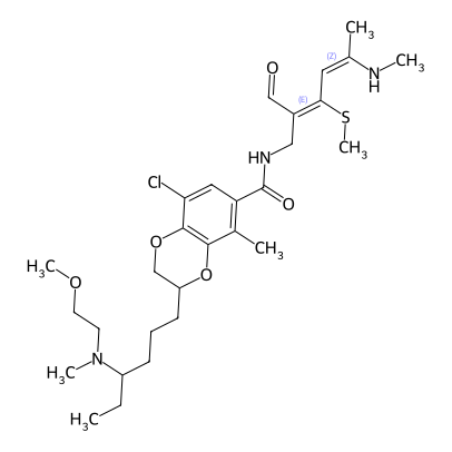 CCC(CCCC1COc2c(Cl)cc(C(=O)NC/C(C=O)=C(/C=C(/C)NC)SC)c(C)c2O1)N(C)CCOC